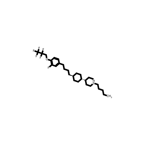 CCCCC[SiH]1CCC([C@H]2CC[C@H](CCCCc3ccc(OCC(F)(F)C(F)(F)F)c(F)c3)CC2)CC1